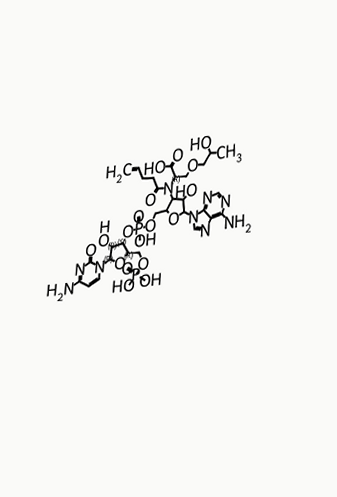 C=CCCC(=O)N(C1C(COP(=O)(O)O[C@H]2[C@@H](O)[C@H](n3ccc(N)nc3=O)O[C@@H]2COP(=O)(O)O)OC(n2cnc3c(N)ncnc32)C1O)[C@H](COCC(C)O)C(=O)O